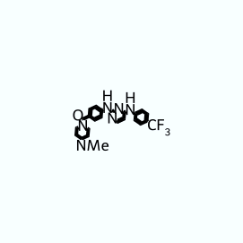 CNC1CCN(C(=O)c2ccc(Nc3nccc(Nc4ccc(C(F)(F)F)cc4)n3)cc2)CC1